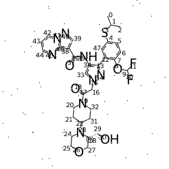 CC(C)Sc1ccc(OC(F)F)c(-c2nn(CC(=O)N3CCC(N4CCOC[C@H]4CO)CC3)cc2NC(=O)c2cnn3cccnc23)c1